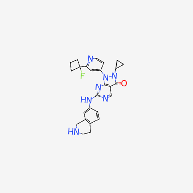 O=c1c2cnc(Nc3ccc4c(c3)CNCC4)nc2n(-c2ccnc(C3(F)CCC3)c2)n1C1CC1